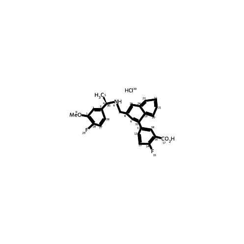 COc1cc([C@@H](C)NCc2cc(-c3ccc(F)c(C(=O)O)c3)c3ccccc3c2)ccc1F.Cl